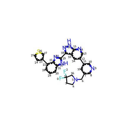 FC1(F)CCN(Cc2cncc(-c3cnc4[nH]nc(-c5nc6c(-c7ccsc7)cccc6[nH]5)c4c3)c2)C1